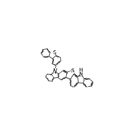 c1ccc2c(c1)[nH]c1c2ccc2c3cc4c5ccccc5n(-c5ccc6sc7ccccc7c6c5)c4cc3sc21